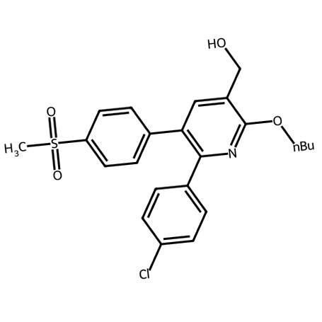 CCCCOc1nc(-c2ccc(Cl)cc2)c(-c2ccc(S(C)(=O)=O)cc2)cc1CO